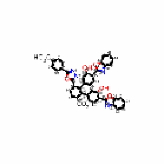 O=C(O)c1ccc(-c2nnc(-c3ccc(C(=O)O)c(-c4ccc(-c5nc6ccccc6o5)c(O)c4)c3-c3ccc(-c4nc5ccccc5o4)c(O)c3)o2)cc1